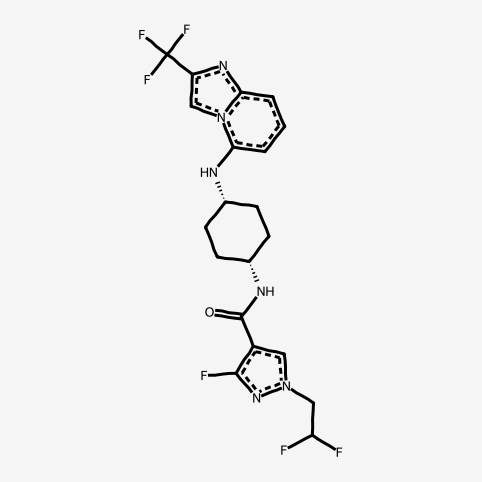 O=C(N[C@H]1CC[C@@H](Nc2cccc3nc(C(F)(F)F)cn23)CC1)c1cn(CC(F)F)nc1F